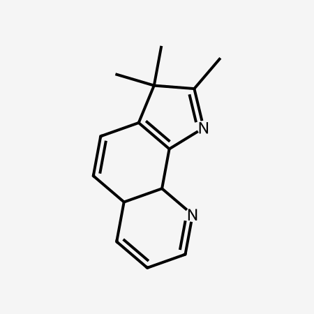 CC1=NC2=C(C=CC3C=CC=NC23)C1(C)C